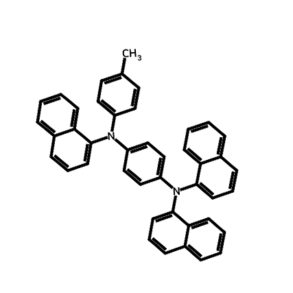 Cc1ccc(N(c2ccc(N(c3cccc4ccccc34)c3cccc4ccccc34)cc2)c2cccc3ccccc23)cc1